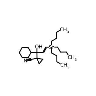 CCC[CH2][Sn](/[CH]=C/C(O)(C1CCCCC1)C1(C#N)CC1)([CH2]CCC)[CH2]CCC